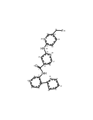 O=C(Nc1cnccc1-c1ccccn1)c1ccnc(Nc2ccc(CF)cn2)c1